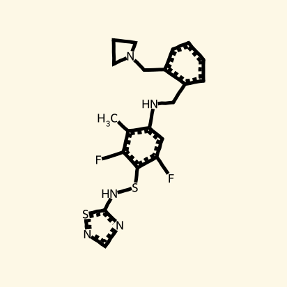 Cc1c(NCc2ccccc2CN2CCC2)cc(F)c(SNc2ncns2)c1F